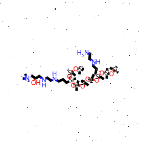 C[N+](C)(C)CC(O)CNCCNCCC[Si](C)(O[Si](C)(C)O[Si](C)(C)C)O[Si](C)(C)O[Si](C)(C)O[Si](C)(C)O[Si](C)(CCCNCCN)O[Si](C)(C)O[Si](C)(C)C